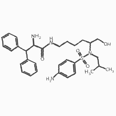 CC(C)CN(C(CO)CCCCNC(=O)C(N)C(c1ccccc1)c1ccccc1)S(=O)(=O)c1ccc(N)cc1